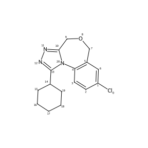 Clc1ccc2c(c1)COCc1nnc(C3CCCCC3)n1-2